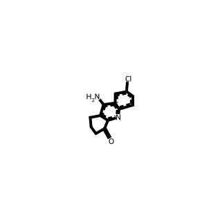 Nc1c2c(nc3ccc(Cl)cc13)C(=O)CCC2